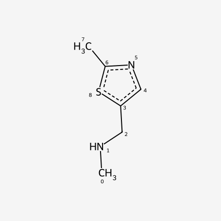 CNCc1cnc(C)s1